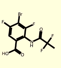 CC(F)(F)C(=O)Nc1c(C(=O)O)cc(F)c(Br)c1F